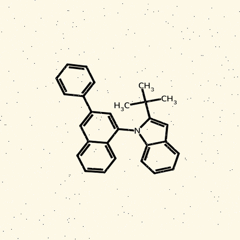 CC(C)(C)c1cc2ccccc2n1-c1cc(-c2ccccc2)cc2ccccc12